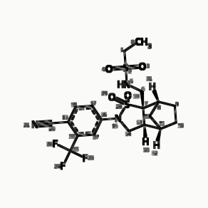 CCS(=O)(=O)NC[C@@]12[C@@H]3CC[C@@H](C3)[C@@H]1CN(c1ccc(C#N)c(C(F)(F)F)c1)S2(=O)=O